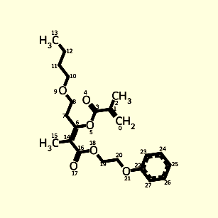 C=C(C)C(=O)OC(CCOCCCC)=C(C)C(=O)OCCOc1ccccc1